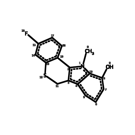 Cn1c2c(c3cccc(O)c31)CSc1cc(F)ccc1-2